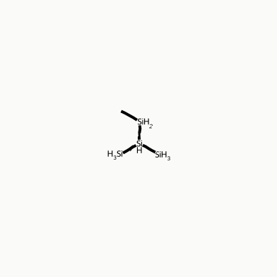 C[SiH2][SiH]([SiH3])[SiH3]